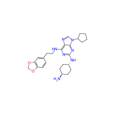 N[C@H]1CC[C@H](Nc2nc(NCCc3ccc4c(c3)OCO4)c3ncn(C4CCCC4)c3n2)CC1